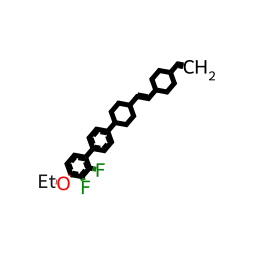 C=CC1CCC(/C=C/C2CCC(c3ccc(-c4ccc(OCC)c(F)c4F)cc3)CC2)CC1